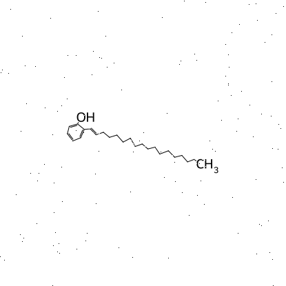 CCCCCCCCCCCCCCCCC=Cc1ccccc1O